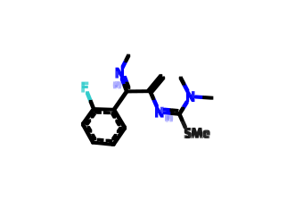 C=C(/N=C(/SC)N(C)C)/C(=N\C)c1ccccc1F